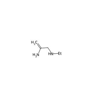 C=C(N)CNCC